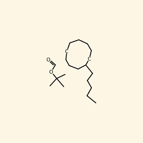 CC(C)(C)OC=O.CCCCCC1CCCCCCCCC1